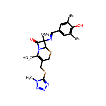 COC1(N=Cc2cc(C(C)(C)C)c(O)c(C(C)(C)C)c2)C(=O)N2C(C(=O)O)=C(CSc3nnnn3C)CSC21